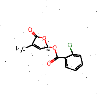 CC1=C[C@H](OC(=O)c2ccccc2Cl)OC1=O